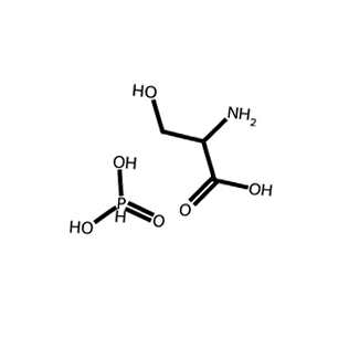 NC(CO)C(=O)O.O=[PH](O)O